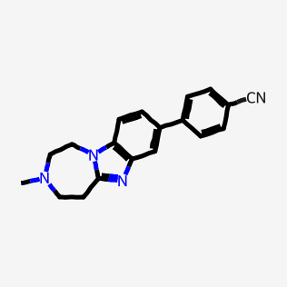 CN1CCc2nc3cc(-c4ccc(C#N)cc4)ccc3n2CC1